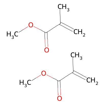 C=C(C)C(=O)OC.C=C(C)C(=O)OC